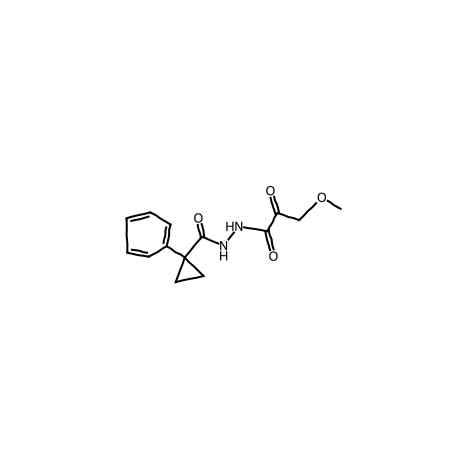 COCC(=O)C(=O)NNC(=O)C1(c2ccccc2)CC1